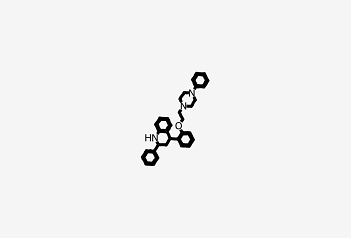 c1ccc(C2CC(c3ccccc3OCCN3CCN(c4ccccc4)CC3)c3ccccc3N2)cc1